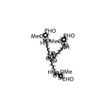 COc1cc(C=O)ccc1OC(=O)NCCCCCCn1c(=O)n(CCCCCCNC(=O)Oc2ccc(C=O)cc2OC)c(=O)n(CCCCCCNC(=O)Oc2ccc(C=O)cc2OC)c1=O